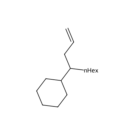 C=CCC(CCCCCC)C1CCCCC1